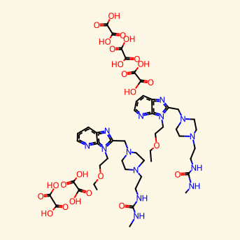 CCOCCn1c(CN2CCN(CCNC(=O)NC)CC2)nc2cccnc21.CCOCCn1c(CN2CCN(CCNC(=O)NC)CC2)nc2cccnc21.O=C(O)C(=O)O.O=C(O)C(=O)O.O=C(O)C(=O)O.O=C(O)C(=O)O.O=C(O)C(=O)O